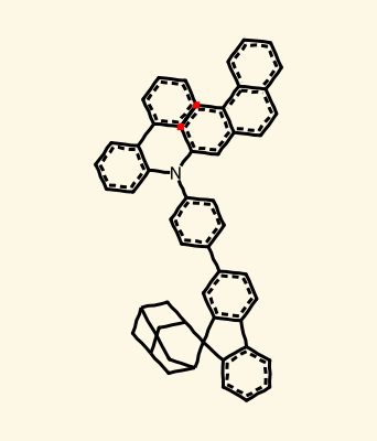 c1ccc(-c2ccccc2N(c2ccc(-c3ccc4c(c3)C3(c5ccccc5-4)C4CC5CC(C4)CC3C5)cc2)c2ccc3c(ccc4ccccc43)c2)cc1